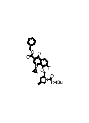 C=C1C[C@@H](COc2c(F)ccc3c(=O)c(C(=O)OCc4ccccc4)cn(C4CC4)c23)N(C(=O)OC(C)(C)C)C1